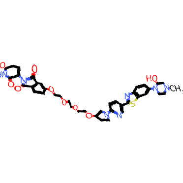 CN1CCN(c2ccc3nc(-c4ccc(N5CCC(OCCOCCOCCOc6ccc7c(c6)C(=O)N(C6CCC(=O)NC6=O)C7=O)C5)nc4)sc3c2)C(O)C1